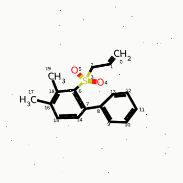 C=CCS(=O)(=O)c1c(-c2ccccc2)ccc(C)c1C